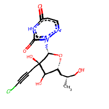 C[C@@H](O)[C@H]1O[C@@H](n2ncc(=O)[nH]c2=O)[C@@](O)(C#CCl)C1O